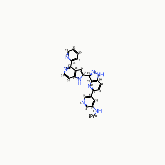 CC(C)Nc1cncc(-c2ccc3[nH]nc(-c4cc5c(-c6ccccn6)nccc5[nH]4)c3n2)c1